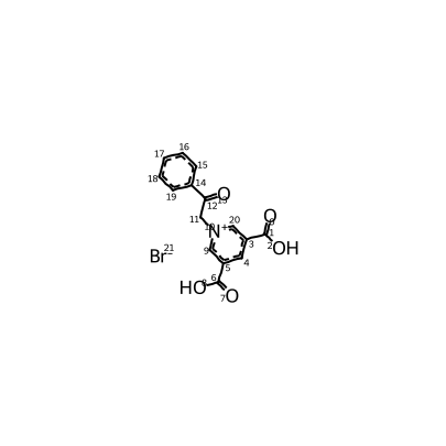 O=C(O)c1cc(C(=O)O)c[n+](CC(=O)c2ccccc2)c1.[Br-]